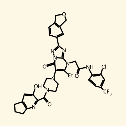 CCc1c(N2CCN(C(=O)c3nc4c(cc3O)CCC4)CC2)c(=O)n2nc(-c3ccc4c(c3)COC4)nc2n1CC(=O)Nc1ccc(C(F)(F)F)cc1Cl